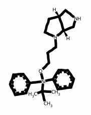 CC(C)(C)[Si](OCCCN1CC[C@@H]2CNC[C@@H]21)(c1ccccc1)c1ccccc1